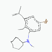 C=C(C)c1cc(Br)cc(N(C)C2CCCC2)c1C